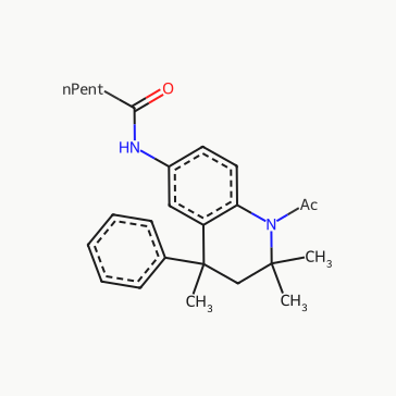 CCCCCC(=O)Nc1ccc2c(c1)C(C)(c1ccccc1)CC(C)(C)N2C(C)=O